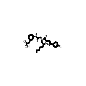 CCCCCC1CN(CC(=O)Nc2cccc(CC(=O)O)c2)C(=O)c2cc(-c3ccc(Cl)cc3)nn21